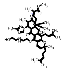 COC(=O)/C(C)=C\CC12OC(C)(C)C(C)C13Oc1c(CC=C(C)C)c4c(c(OCCNCCO)c1C(=O)C3C(n1cnc(N)n1)C(C)C2=O)C=CC(C)(CCC=C(C)C)O4